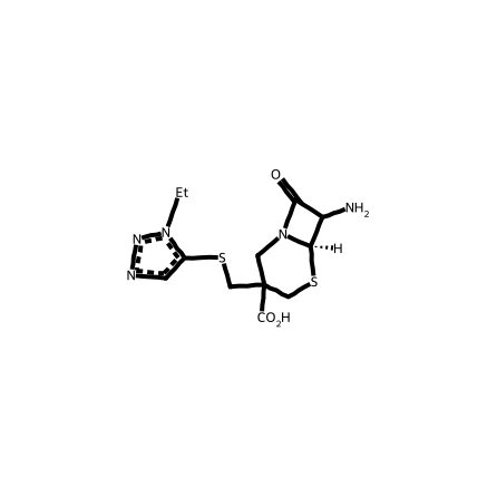 CCn1nncc1SCC1(C(=O)O)CS[C@@H]2C(N)C(=O)N2C1